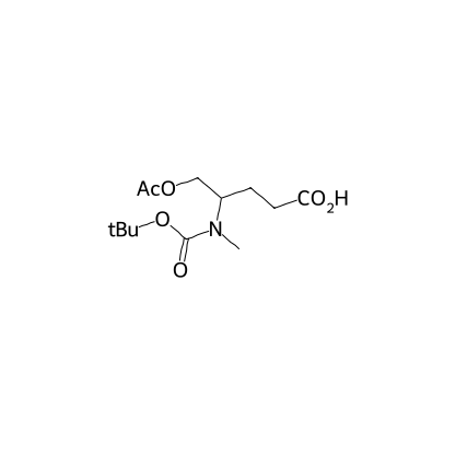 CC(=O)OCC(CCC(=O)O)N(C)C(=O)OC(C)(C)C